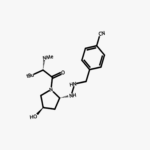 CN[C@H](C(=O)N1C[C@H](O)C[C@H]1NNCc1ccc(C#N)cc1)C(C)(C)C